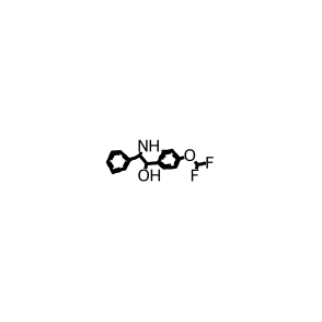 NC(c1ccccc1)C(O)c1ccc(OC(F)F)cc1